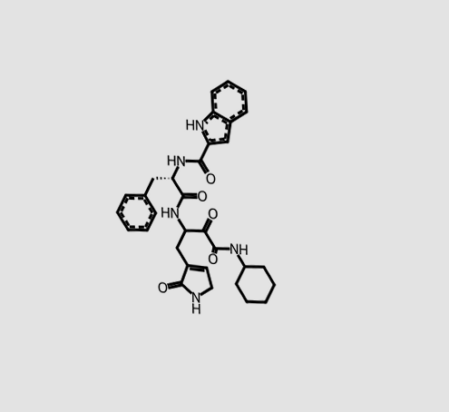 O=C(NC1CCCCC1)C(=O)C(CC1=CCNC1=O)NC(=O)[C@H](Cc1ccccc1)NC(=O)c1cc2ccccc2[nH]1